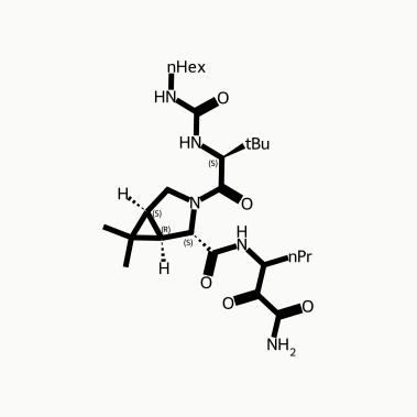 CCCCCCNC(=O)N[C@H](C(=O)N1C[C@H]2[C@@H]([C@H]1C(=O)NC(CCC)C(=O)C(N)=O)C2(C)C)C(C)(C)C